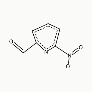 O=Cc1cccc([N+](=O)[O-])n1